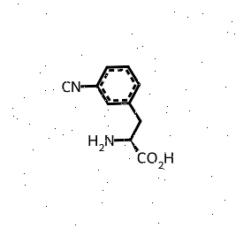 [C-]#[N+]c1cccc(C[C@H](N)C(=O)O)c1